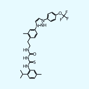 Cc1ccc(C(C)C)c(NC(=S)NC(=O)NCCc2ccc(N3C=CN(c4ccc(OC(F)(F)F)cc4)N3)cc2C)c1